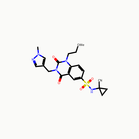 COCCn1c(=O)n(Cc2cnn(C)c2)c(=O)c2cc(S(=O)(=O)NC3(C#N)CC3)ccc21